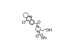 CCCOC(=O)N1CCN(C(=O)c2ccc3c(Cl)c4c(nc3c2)CCCC4)CC1CCO